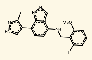 COc1cccc(F)c1CNc1ccc(-c2c[nH]nc2C)c2nncn12